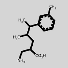 Cc1cccc(C(C)C(C)CC(CN)C(=O)O)c1